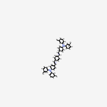 Cc1cccc(N(c2ccc(/C=C/c3ccc(/C=C/c4ccc(N(c5cccc(C)c5)c5cccc(C)c5)cc4)cc3)cc2)c2cccc(C)c2)c1